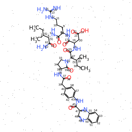 CC[C@H](C)[C@H](NC(=O)[C@@H](CCCNC(=N)N)NC(=O)C(CC(=O)O)NC(=O)[C@H]([C@@H](C)CC)N1CC[C@@H](NC(=O)Cc2ccc(NC(=O)c3cnc4ccccc4n3)cc2)C1=O)C(N)=O